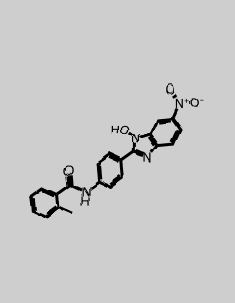 Cc1ccccc1C(=O)Nc1ccc(-c2nc3ccc([N+](=O)[O-])cc3n2O)cc1